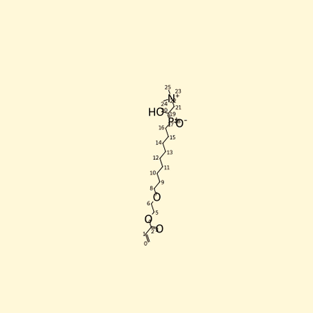 C=CC(=O)OCCOCCCCCCCCC[P+]([O-])=C(O)C[N+](C)(C)C